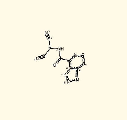 N#CC(C#N)NC(=O)c1cccc2nnsc12